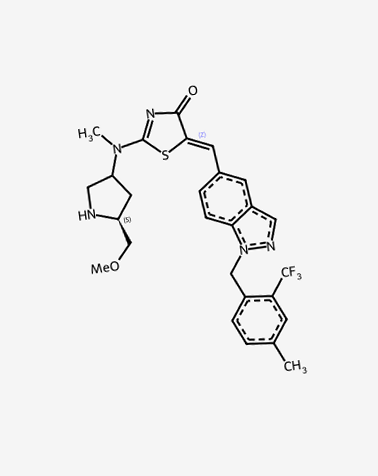 COC[C@@H]1CC(N(C)C2=NC(=O)/C(=C/c3ccc4c(cnn4Cc4ccc(C)cc4C(F)(F)F)c3)S2)CN1